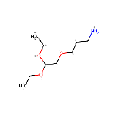 CCOC(COCCCN)OCC